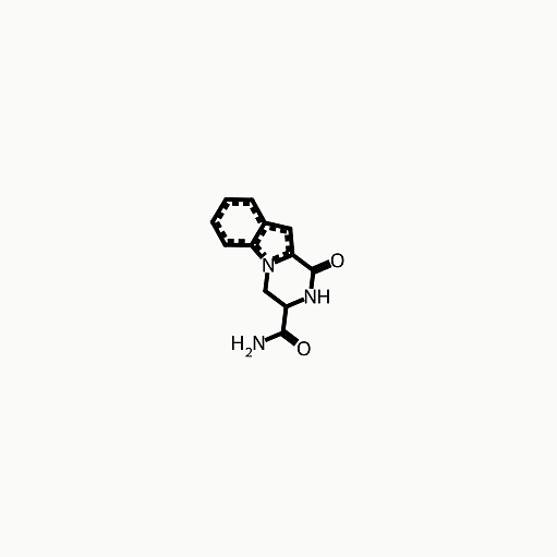 NC(=O)C1Cn2c(cc3ccccc32)C(=O)N1